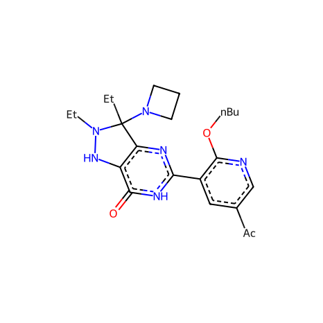 CCCCOc1ncc(C(C)=O)cc1-c1nc2c(c(=O)[nH]1)NN(CC)C2(CC)N1CCC1